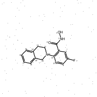 O=C(NO)c1cc(F)cnc1N1CCc2ccccc2C1